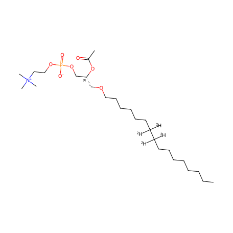 [2H]C([2H])(CCCCCCCC)C([2H])([2H])CCCCCCOC[C@H](COP(=O)([O-])OCC[N+](C)(C)C)OC(C)=O